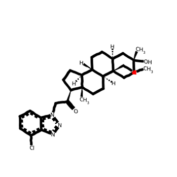 COC[C@]12CC[C@@](C)(O)C[C@@H]1CC[C@H]1[C@@H]3CC[C@H](C(=O)Cn4nnc5c(Cl)cccc54)[C@@]3(C)CC[C@@H]12